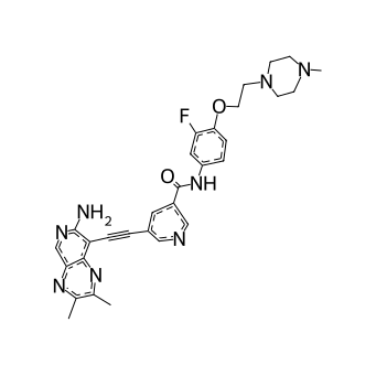 Cc1nc2cnc(N)c(C#Cc3cncc(C(=O)Nc4ccc(OCCN5CCN(C)CC5)c(F)c4)c3)c2nc1C